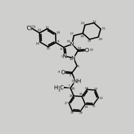 C[C@@H](NC(=O)Cn1nc(-c2ccc(Cl)cc2)n(CC2CCCCC2)c1=O)c1cccc2ccccc12